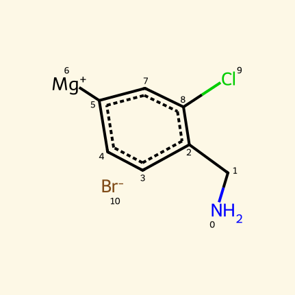 NCc1cc[c]([Mg+])cc1Cl.[Br-]